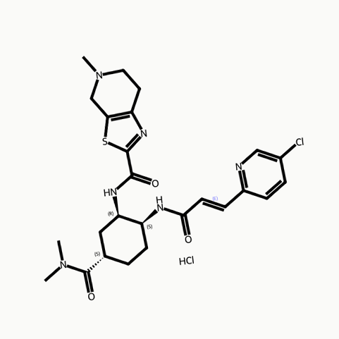 CN1CCc2nc(C(=O)N[C@@H]3C[C@@H](C(=O)N(C)C)CC[C@@H]3NC(=O)/C=C/c3ccc(Cl)cn3)sc2C1.Cl